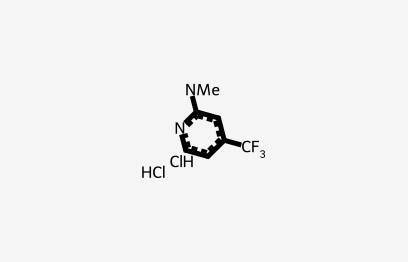 CNc1cc(C(F)(F)F)ccn1.Cl.Cl